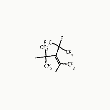 CC(=C(C(C)(C(F)(F)F)C(F)(F)F)C(F)(C(F)(F)F)C(F)(F)F)C(F)(F)F